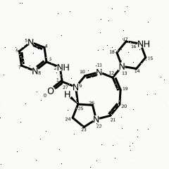 O=C(Nc1cnccn1)N1C=NC(N2CCNCC2)=CC=CN2CC[C@H]1C2